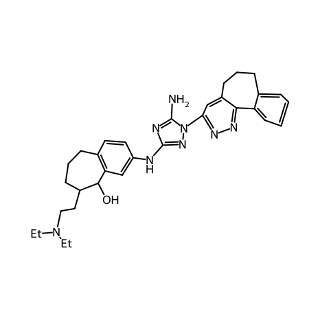 CCN(CC)CCC1CCCc2ccc(Nc3nc(N)n(-c4cc5c(nn4)-c4ccccc4CCC5)n3)cc2C1O